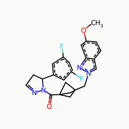 COc1ccc2cn(CC34CC(C(=O)N5N=CCC5c5cc(F)cc(F)c5)(C3)C4)nc2c1